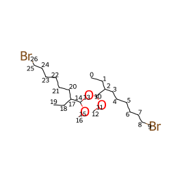 CCC(CCCCCCBr)C(OC)OC(OC)C(CC)CCCCCCBr